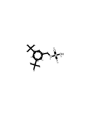 CC(C)(C)c1cc(COS(=O)(O)=S)cc(C(C)(C)C)c1